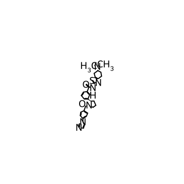 CN(C)[C@H]1CCc2nc(NC(=O)c3cccc([C@H]4CCCN4C(=O)c4ccc(-n5ccnc5)cc4)c3)sc2C1